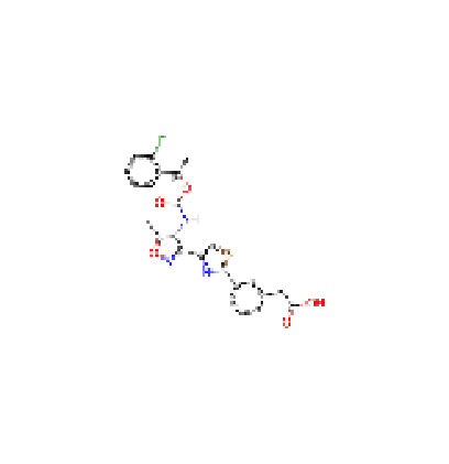 Cc1onc(-c2csc(-c3cccc(CC(=O)O)c3)n2)c1NC(=O)O[C@H](C)c1ccccc1F